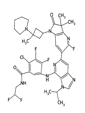 CC(C)n1cnc2cc(-c3cc4c(nc3F)C(C)(C)C(=O)N4C3CC(C)(N4CCCCC4)C3)nc(Nc3cc(C(=O)NCC(F)F)c(Cl)c(F)c3F)c21